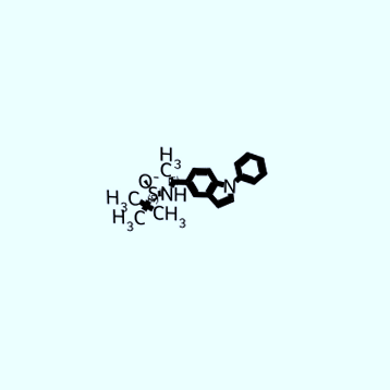 C[C@H](N[S@+]([O-])C(C)(C)C)c1ccc2c(ccn2-c2ccccc2)c1